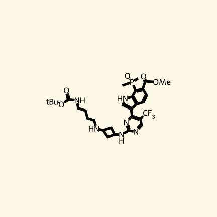 COC(=O)c1ccc2c(-c3nc(NC4CC(NCCCCNC(=O)OC(C)(C)C)C4)ncc3C(F)(F)F)c[nH]c2c1P(C)(C)=O